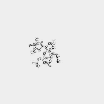 CC(=O)OC[C@H]1OC(Sc2cc(Cl)c(F)c(Cl)c2)[C@H](OC(C)=O)[C@@H](N=[N+]=[N-])[C@H]1OC(C)=O